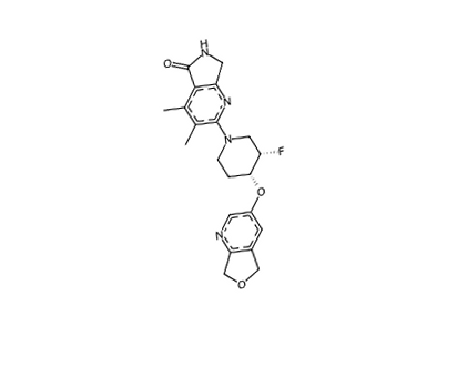 Cc1c(N2CC[C@@H](Oc3cnc4c(c3)COC4)[C@@H](F)C2)nc2c(c1C)C(=O)NC2